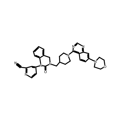 N#Cc1cc(N2C(=O)N(CC3CCN(c4ncnc5cc(N6CCOCC6)ccc45)CC3)Cc3ccccc32)ccn1